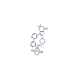 CC1(C)CC(=O)c2sc(N3CCOCC3)c(-c3ccnc(-c4cccc(CN5[C@@H]6CC[C@H]5C[C@H](N)C6)c4)c3)c2C1